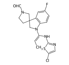 CC=C(Nc1ncc(Cl)s1)N1CC2(CCN(C=O)C2)c2cc(F)ccc21